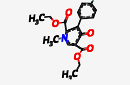 CCOC(=O)c1cn(C)c(C(=O)OCC)c(-c2ccc(F)cc2)c1=O